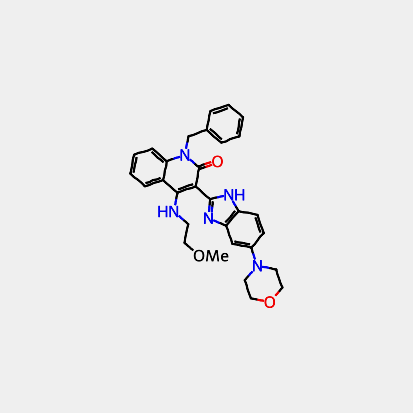 COCCNc1c(-c2nc3cc(N4CCOCC4)ccc3[nH]2)c(=O)n(Cc2ccccc2)c2ccccc12